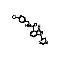 O=C(NCc1ccc(Cl)cc1)c1cccc2c(-c3cncs3)n[nH]c12